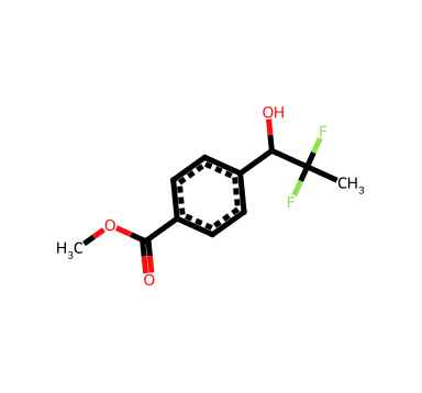 COC(=O)c1ccc(C(O)C(C)(F)F)cc1